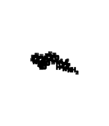 Cc1cc(N)nc(C)c1CNC(=O)Cc1c(C)ccn(NCc2cccnc2N2CCOCC2)c1=O